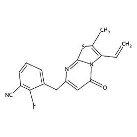 C=Cc1c(C)sc2nc(Cc3cccc(C#N)c3F)cc(=O)n12